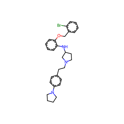 Brc1ccccc1COc1ccccc1NC1CCN(CCc2ccc(N3CCCC3)cc2)C1